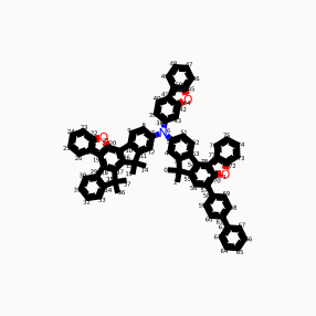 CC1(C)c2cc(N(c3ccc4c(c3)C(C)(C)c3c5c(c6c(oc7ccccc76)c3-4)-c3ccccc3C5(C)C)c3ccc4c(c3)oc3ccccc34)ccc2-c2c1cc(-c1ccc(-c3ccccc3)cc1)c1oc3ccccc3c21